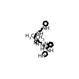 CC(C)(CNCCCNC1CCCCC1)Cn1cc(CNc2nc(NC3CCNCC3)c3ccccc3n2)nn1